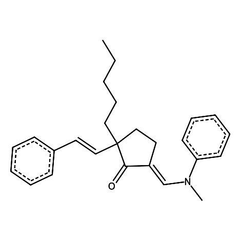 CCCCCC1(C=Cc2ccccc2)CC/C(=C\N(C)c2ccccc2)C1=O